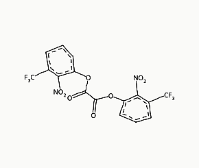 O=C(Oc1cccc(C(F)(F)F)c1[N+](=O)[O-])C(=O)Oc1cccc(C(F)(F)F)c1[N+](=O)[O-]